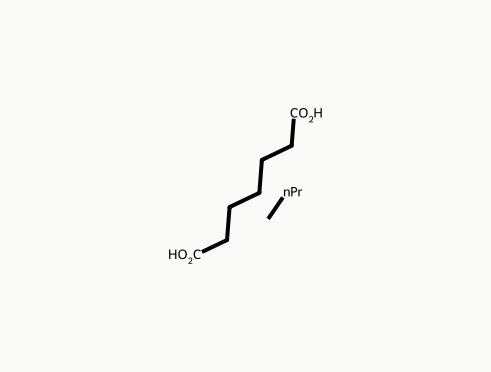 CCCC.O=C(O)CCCCCC(=O)O